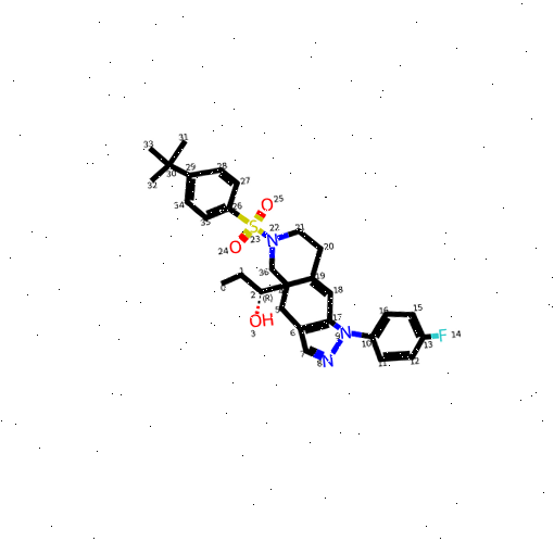 CC[C@@H](O)C12Cc3cnn(-c4ccc(F)cc4)c3C=C1CCN(S(=O)(=O)c1ccc(C(C)(C)C)cc1)C2